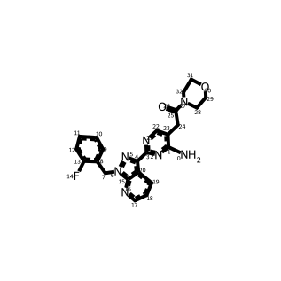 Nc1nc(-c2nn(Cc3ccccc3F)c3ncccc23)ncc1CC(=O)N1CCOCC1